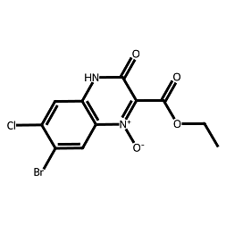 CCOC(=O)c1c(=O)[nH]c2cc(Cl)c(Br)cc2[n+]1[O-]